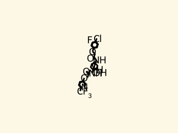 O=C(COc1ccc(Cl)c(F)c1)NC12CCC(NC(=O)COc3ccc(C(F)(F)F)nc3)(CC1)[C@@H](O)C2